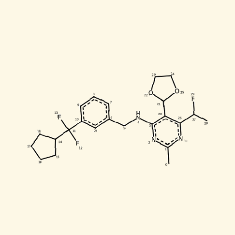 Cc1nc(NCc2cccc(C(F)(F)C3CCCC3)c2)c(C2OCCO2)c(C(C)F)n1